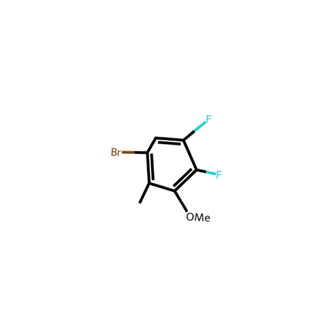 COc1c(C)c(Br)cc(F)c1F